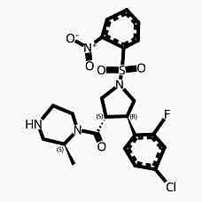 C[C@H]1CNCCN1C(=O)[C@@H]1CN(S(=O)(=O)c2ccccc2[N+](=O)[O-])C[C@H]1c1ccc(Cl)cc1F